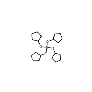 C1CCC(O[Si](OC2CCCC2)(OC2CCCC2)OC2CCCC2)C1